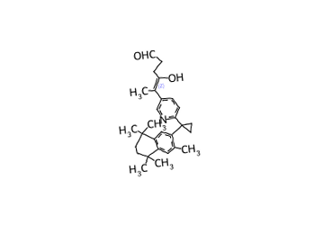 C/C(=C(/O)CCC=O)c1ccc(C2(c3cc4c(cc3C)C(C)(C)CCC4(C)C)CC2)nc1